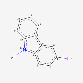 Ic1ccc2c(c1)c1ccccc1n2I